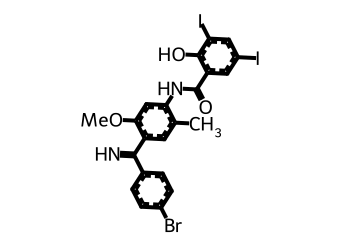 COc1cc(NC(=O)c2cc(I)cc(I)c2O)c(C)cc1C(=N)c1ccc(Br)cc1